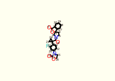 O=C1OC2(CCN(C(=O)C3(c4ccc(N5CCOC5=O)cc4F)CC3)C2)c2ccccc21